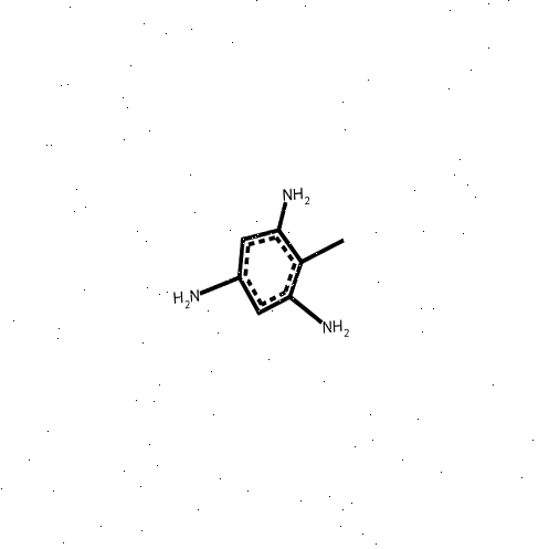 Cc1c(N)cc(N)cc1N